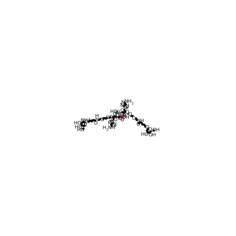 CC(=O)N[C@H]1[C@H](OCCCCC(=O)NCCOCCOCO[C@@H]2[C@H](OP(=O)(O)OC[C@H]3O[C@@H](n4cnc5c(N)ncnc54)[C@H](OCOCCOCCNC(=O)CCCCO[C@H]4C[C@@H](O)[C@@H](O)[C@@H](CO)O4)[C@@H]3OC(C)C)[C@@H](COP(=O)(O)O)O[C@H]2n2cnc3c(N)ncnc32)O[C@H](CO)[C@H](O)[C@@H]1O